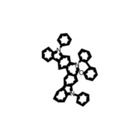 O=c1c2cc3c(cc2c2cc4c5ccccc5n(-c5ccccc5)c4cc2n1-c1ccccc1-c1ccccc1)c1ccccc1n3-c1ccccc1